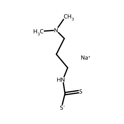 CN(C)CCCNC(=S)[S-].[Na+]